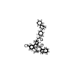 CN(CC1(C#N)CCCCC1)C1CCN(C(=O)Cn2cc(NC(=O)c3cnn4cccnc34)c(-c3cc(Cl)ccc3OC(F)F)n2)CC1